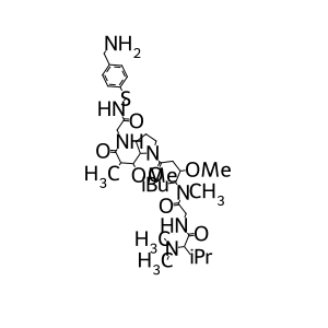 CCC(C)C(C(CC(=O)N1CCCC1C(OC)C(C)C(=O)NCC(=O)NSc1ccc(CN)cc1)OC)N(C)C(=O)CNC(=O)C(C(C)C)N(C)C